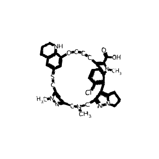 CN1Cc2cc(n(C)n2)CSc2cc3c(c(c2)OCCCc2c(C(=O)O)n(C)c4c(c(Cl)ccc24)-c2c(nn4c2CCC4)C1)NCCC3